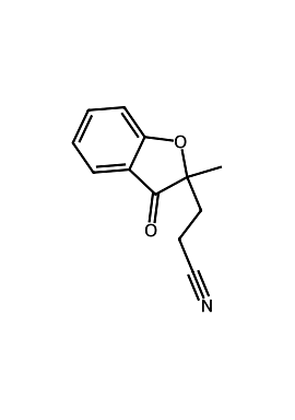 CC1(CCC#N)Oc2ccccc2C1=O